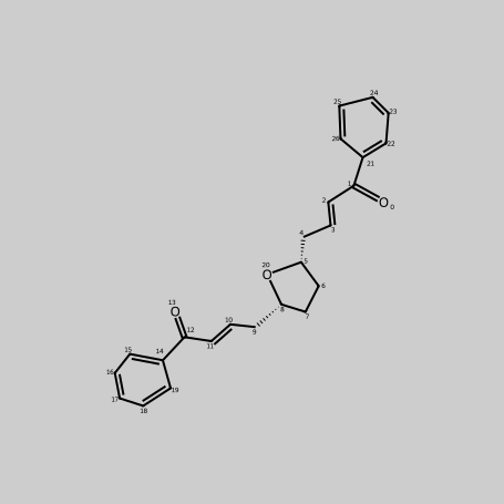 O=C(C=CC[C@@H]1CC[C@H](CC=CC(=O)c2ccccc2)O1)c1ccccc1